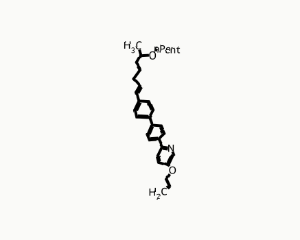 C=CCOc1ccc(-c2ccc(-c3ccc(C=CCCCC(C)OCCCCC)cc3)cc2)nc1